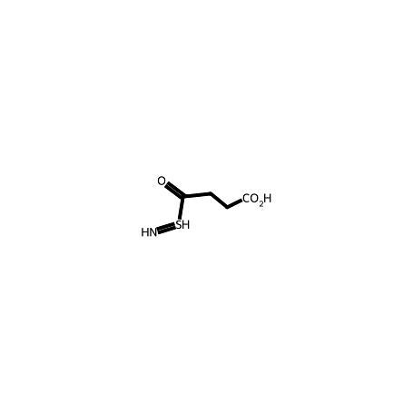 N=[SH]C(=O)CCC(=O)O